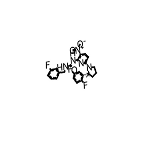 O=C(NCc1cccc(F)c1)Nc1nc(N2CCC[C@@H]2c2cc(F)ccc2F)ccc1[N+](=O)[O-]